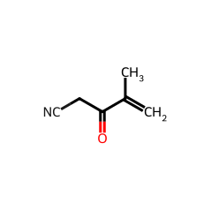 C=C(C)C(=O)CC#N